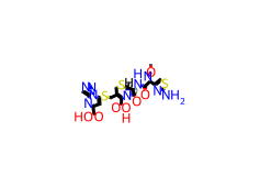 CON=C(C(=O)N[C@@H]1C(=O)N2C(C(=O)O)=C(CSc3cc(C(=O)O)nc4cnnn34)CS[C@H]12)c1csc(N)n1